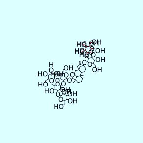 C=C1CC23CCC4C(C)(C(=O)OC5OC(CO)[C@H](O)C(OC6OC(CO)C(O)C(O)C6O)C5OC5OC(C)C(O)C(OC6OC(CO)C(O)C(O)C6O)C5O)CCCC4(C)C2CCC1(OC1OC(CO)C(O)C(OC2OC(CO)[C@@H](O)C(O)C2O)C1OC1OC(CO)C(O)C(O)C1O)C3